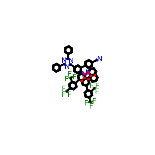 N#Cc1ccc(-c2cc(-c3nc(-c4ccccc4)nc(-c4ccccc4)n3)ccc2-n2c3ccccc3c3cc(-c4ccc(C(F)(F)F)cc4C(F)(F)F)ccc32)c(-n2c3ccccc3c3cc(-c4ccc(C(F)(F)F)cc4C(F)(F)F)ccc32)c1